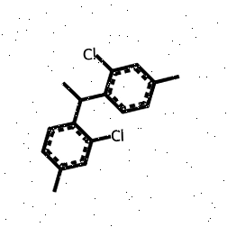 Cc1ccc(C(C)c2ccc(C)cc2Cl)c(Cl)c1